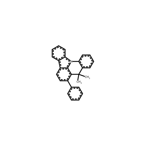 CC1(C)c2ccccc2-n2c3ccccc3c3ccc(-c4ccccc4)c1c32